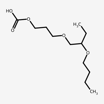 CCCCOC(CC)COCCCOC(=O)O